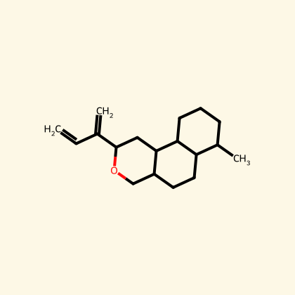 C=CC(=C)C1CC2C(CCC3C(C)CCCC32)CO1